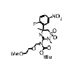 COCCOCN(C(=O)OC(C)(C)C)C1=N[C@](C)(c2cc([N+](=O)[O-])ccc2F)CS(=O)(=O)N1C